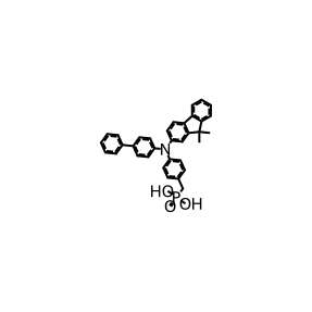 CC1(C)c2ccccc2-c2ccc(N(c3ccc(CP(=O)(O)O)cc3)c3ccc(-c4ccccc4)cc3)cc21